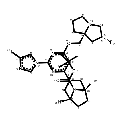 CC(C)(C)OC(=O)N1[C@@H]2CC[C@H]1CN(c1nc(OC[C@@]34CCCN3C[C@H](F)C4)nc(-n3cnc(I)c3)n1)C2